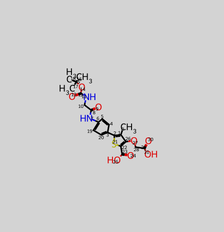 Cc1c(-c2ccc(NC(=O)CNC(=O)OC(C)(C)C)cc2)sc(C(=O)O)c1OCC(=O)O